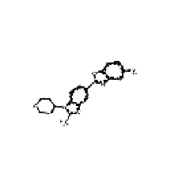 Cc1nc2cc(-c3nc4cc(C(C)(C)C)ccc4o3)ccc2n1C1CCOCC1